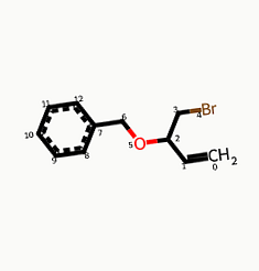 C=CC(CBr)OCc1ccccc1